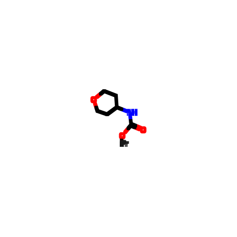 CC(C)OC(=O)NC1CCOCC1